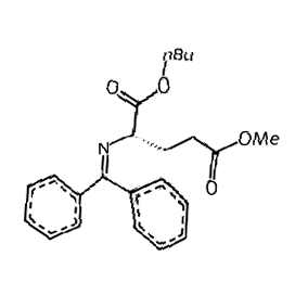 CCCCOC(=O)[C@H](CCC(=O)OC)N=C(c1ccccc1)c1ccccc1